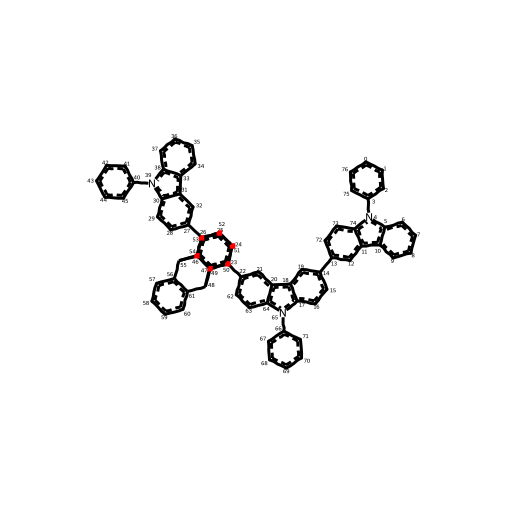 c1ccc(-n2c3ccccc3c3cc(-c4ccc5c(c4)c4cc(-c6ccc(-c7ccc8c(c7)c7ccccc7n8-c7ccccc7)c7c6C6c8ccccc8C7c7ccccc76)ccc4n5-c4ccccc4)ccc32)cc1